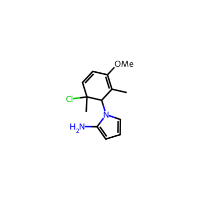 COC1=C(C)C(n2cccc2N)C(C)(Cl)C=C1